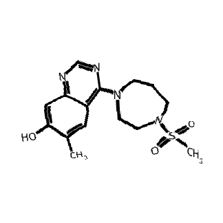 Cc1cc2c(N3CCCN(S(C)(=O)=O)CC3)ncnc2cc1O